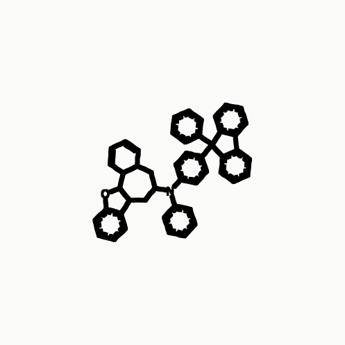 C1=CC2CC(N(c3ccccc3)c3ccc(C4(c5ccccc5)c5ccccc5-c5ccccc54)cc3)CC3c4ccccc4OC3C2C=C1